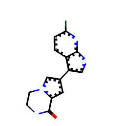 O=C1NCCn2cc(-c3c[nH]c4nc(Cl)ccc34)cc21